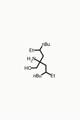 CCCCC(CC)CC(N)(CO)CC(CC)CCCC